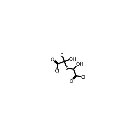 O=C(Cl)C(O)SC(O)(Cl)C(=O)Cl